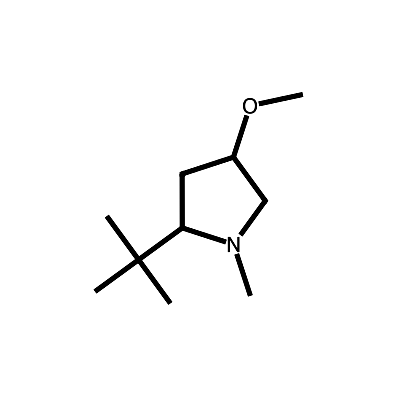 COC1CC(C(C)(C)C)N(C)C1